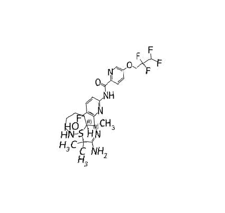 CC1(C)C(N)=N[C@](C)(c2nc(NC(=O)c3ccc(OCC(F)(F)C(F)F)cn3)ccc2F)[C@H]2CCCCNS21O